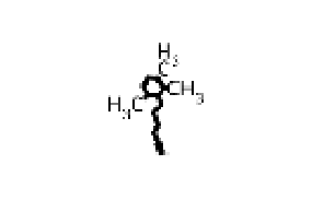 [C]#CCCCCc1c(C)ccc(C)c1C